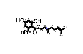 CCCc1cc(O)cc(O)c1C(=O)OC/C=C(\C)CCC=C(C)C